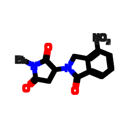 CCN1C(=O)CC(N2Cc3c(cccc3[N+](=O)[O-])C2=O)C1=O